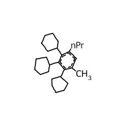 CCCc1cc(C)c(C2CCCCC2)c(C2CCCCC2)c1C1CCCCC1